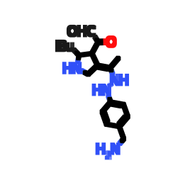 CCC(C)C1NCC(=C(C)NNc2ccc(CN)cc2)C1C(=O)C=O